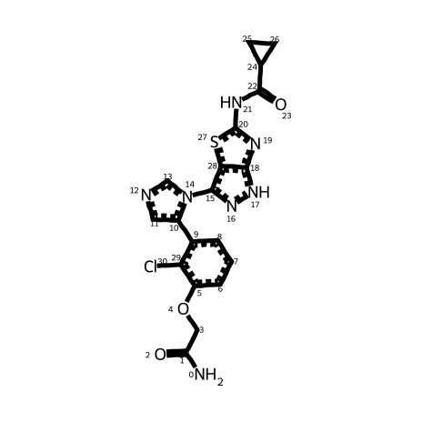 NC(=O)COc1cccc(-c2cncn2-c2n[nH]c3nc(NC(=O)C4CC4)sc23)c1Cl